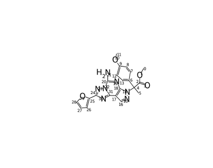 COC(=O)C(C)(c1ccc(OC)cc1)n1ncc2c1nc(N)n1nc(-c3ccco3)nc21